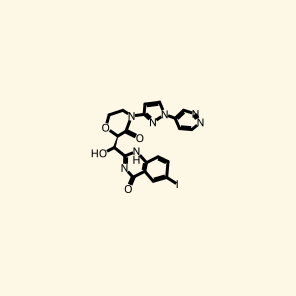 O=C1[C@@H](C(O)c2nc(=O)c3cc(I)ccc3[nH]2)OCCN1c1ccn(-c2ccnnc2)n1